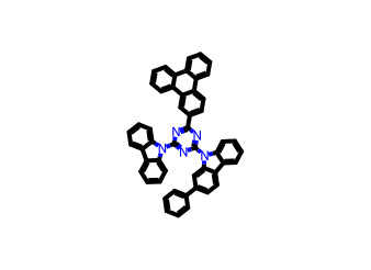 c1ccc(-c2ccc3c4ccccc4n(-c4nc(-c5ccc6c7ccccc7c7ccccc7c6c5)nc(-n5c6ccccc6c6ccccc65)n4)c3c2)cc1